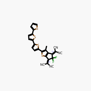 [C-]#[N+]/C(C#N)=C1/c2c(sc(-c3ccc(-c4ccc(-c5cccs5)s4)s3)c2C)/C(=C(\C#N)[N+]#[C-])C1(F)F